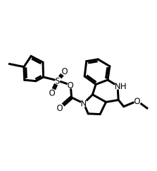 COCC1Nc2ccccc2C2C1CCN2C(=O)OS(=O)(=O)c1ccc(C)cc1